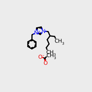 CC(=O)[O-].CCCCC(CC)Cn1cc[n+](Cc2ccccc2)c1